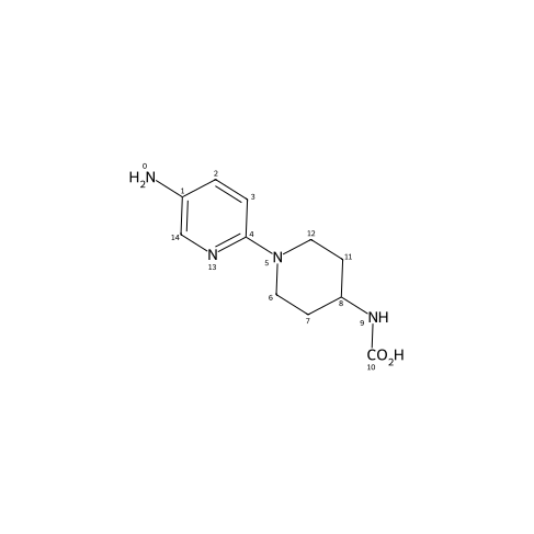 Nc1ccc(N2CCC(NC(=O)O)CC2)nc1